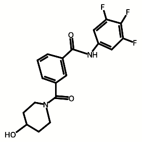 O=C(Nc1cc(F)c(F)c(F)c1)c1cccc(C(=O)N2CCC(O)CC2)c1